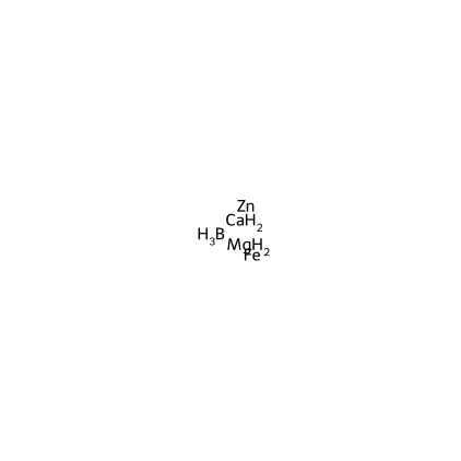 B.[CaH2].[Fe].[MgH2].[Zn]